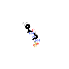 Cc1nc([C@@H](C)NC(=O)C2CC2c2ccc(C(F)(F)F)cc2)ccc1NC[SH](=O)=O